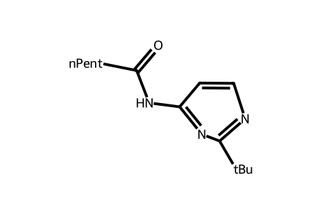 CCCCCC(=O)Nc1ccnc(C(C)(C)C)n1